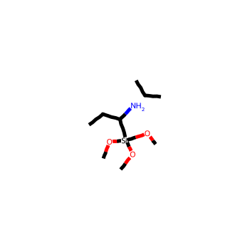 CCC.CCC(N)[Si](OC)(OC)OC